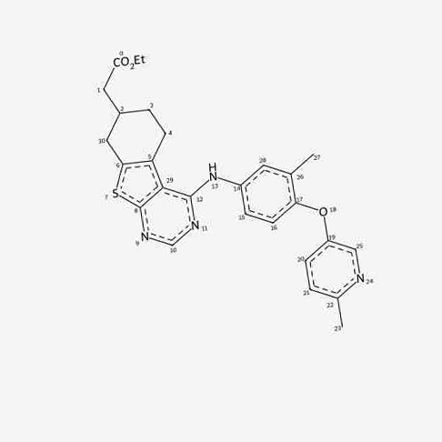 CCOC(=O)CC1CCc2c(sc3ncnc(Nc4ccc(Oc5ccc(C)nc5)c(C)c4)c23)C1